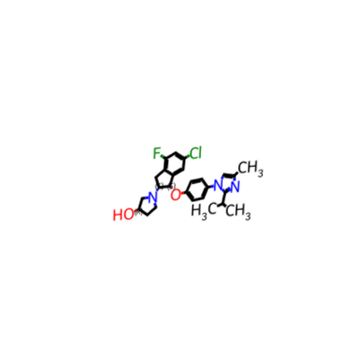 Cc1cn(-c2ccc(O[C@H]3c4cc(Cl)cc(F)c4C[C@@H]3N3CC[C@@H](O)C3)cc2)c(C(C)C)n1